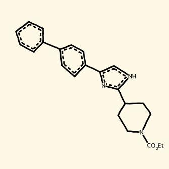 CCOC(=O)N1CCC(c2nc(-c3ccc(-c4ccccc4)cc3)c[nH]2)CC1